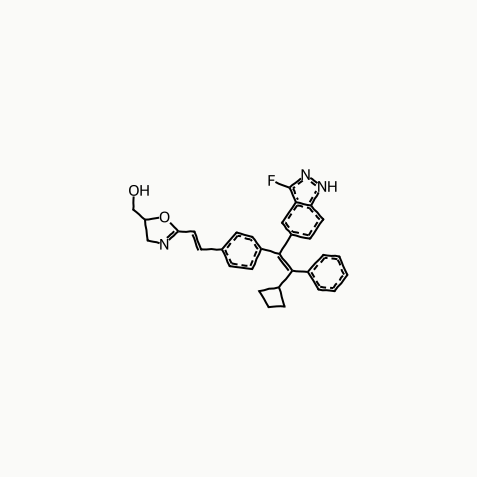 OCC1CN=C(C=Cc2ccc(C(=C(c3ccccc3)C3CCC3)c3ccc4[nH]nc(F)c4c3)cc2)O1